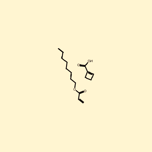 C=CC(=O)OCCCCCCCC.O=C(O)C1=CCC1